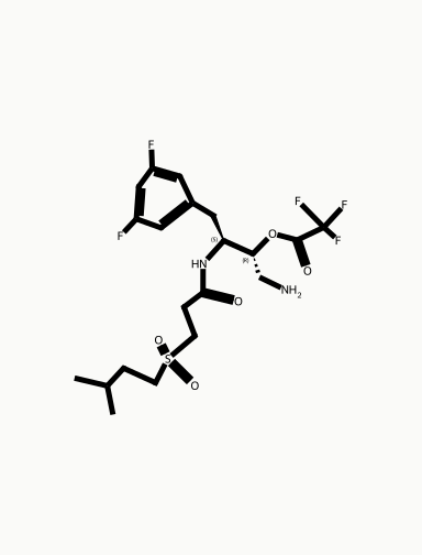 CC(C)CCS(=O)(=O)CCC(=O)N[C@@H](Cc1cc(F)cc(F)c1)[C@@H](CN)OC(=O)C(F)(F)F